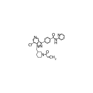 C=CC(=O)N1CCCC(Cn2nc(-c3ccc(C(=O)Nc4ccccn4)cc3)c3cncc(Cl)c32)C1